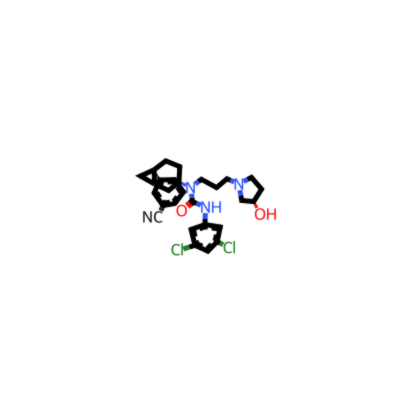 N#Cc1cccc([C@]23CC[C@@H](N(CCCN4CC[C@@H](O)C4)C(=O)Nc4cc(Cl)cc(Cl)c4)CC2C3)c1